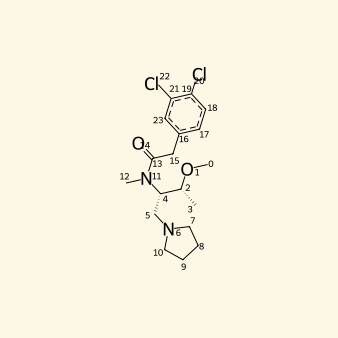 CO[C@H](C)[C@H](CN1CCCC1)N(C)C(=O)Cc1ccc(Cl)c(Cl)c1